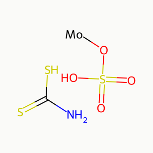 NC(=S)S.O=S(=O)(O)[O][Mo]